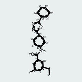 CCc1cc(C)cc(C(=O)Nc2ccc(-c3nnc(-c4ccccc4)o3)cc2)c1